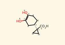 O=C(O)C1([C@H]2CCC(O)=C(O)C2)CC1